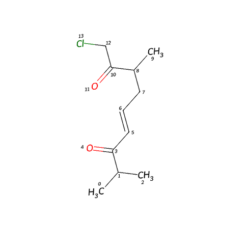 CC(C)C(=O)C=CCC(C)C(=O)CCl